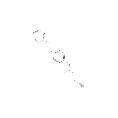 N#CCCC(N)Cc1ccc(OCc2ccccc2)cc1